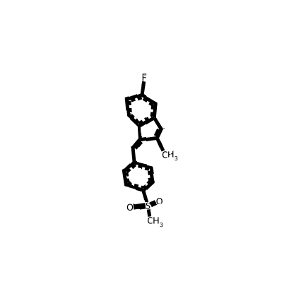 CC1=[C]c2cc(F)ccc2/C1=C/c1ccc(S(C)(=O)=O)cc1